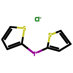 [Cl-].c1csc([I+]c2cccs2)c1